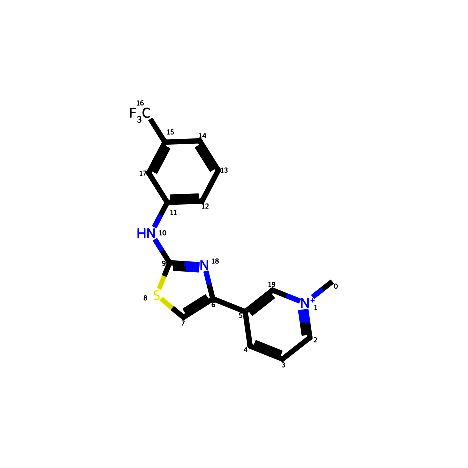 C[n+]1cccc(-c2csc(Nc3cccc(C(F)(F)F)c3)n2)c1